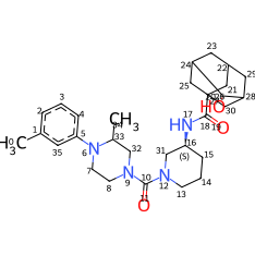 Cc1cccc(N2CCN(C(=O)N3CCC[C@H](NC(=O)C45CC6CC(C4)C(O)C(C6)C5)C3)CC2C)c1